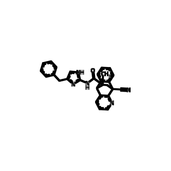 CC1(C(=O)Nc2nc(Cc3ccccc3)c[nH]2)CC2(C#N)c3ccccc3C1c1cccnc12